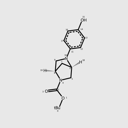 CC(C)(C)OC(=O)N1C[C@H]2C[C@@H]1CN2c1ccc(O)cc1